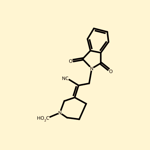 N#CC(CN1C(=O)c2ccccc2C1=O)=C1CCCN(C(=O)O)C1